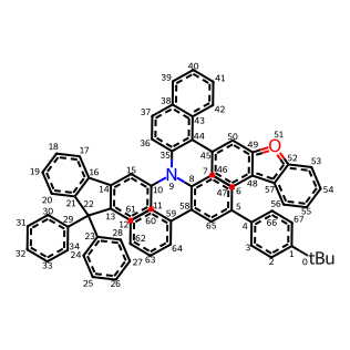 CC(C)(C)c1ccc(-c2ccc(N(c3ccc4c(c3)-c3ccccc3C4(c3ccccc3)c3ccccc3)c3ccc4ccccc4c3-c3ccc4c(c3)oc3ccccc34)c(-c3ccccc3)c2)cc1